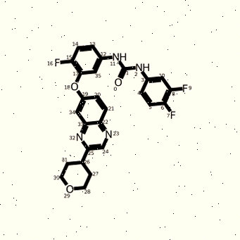 O=C(Nc1ccc(F)c(F)c1)Nc1ccc(F)c(Oc2ccc3ncc(C4CCOCC4)nc3c2)c1